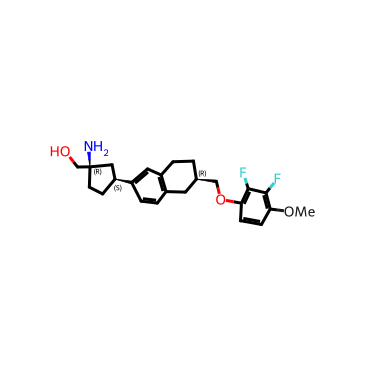 COc1ccc(OC[C@@H]2CCc3cc([C@H]4CC[C@](N)(CO)C4)ccc3C2)c(F)c1F